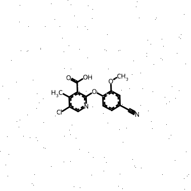 COc1cc(C#N)ccc1Oc1ncc(Cl)c(C)c1C(=O)O